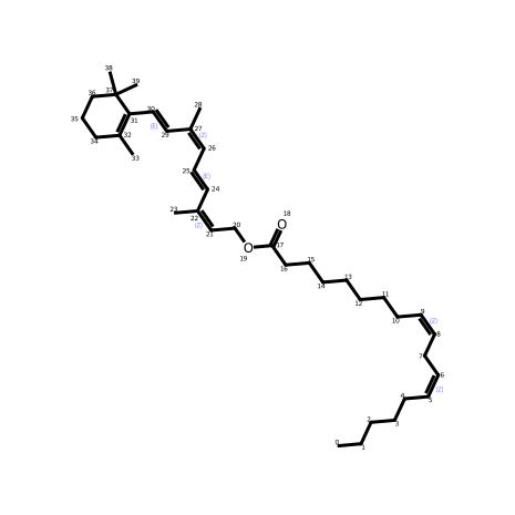 CCCCC/C=C\C/C=C\CCCCCCCC(=O)OC\C=C(C)/C=C/C=C(C)\C=C\C1=C(C)CCCC1(C)C